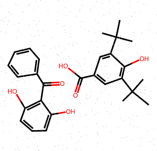 CC(C)(C)c1cc(C(=O)O)cc(C(C)(C)C)c1O.O=C(c1ccccc1)c1c(O)cccc1O